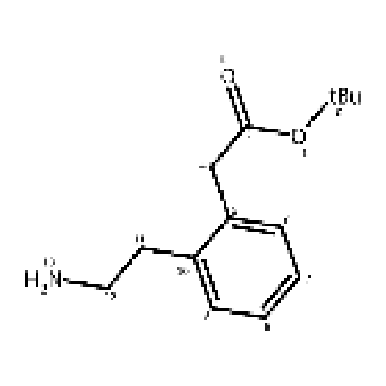 CC(C)(C)OC(=O)Cc1ccccc1CCN